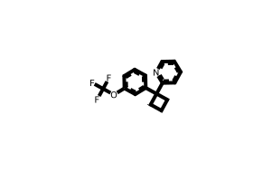 FC(F)(F)Oc1cccc(C2(c3ccccn3)[CH]CC2)c1